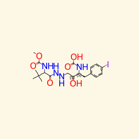 COC(=O)NC(C(=O)NNC[C@H](O)[C@H](Cc1ccc(I)cc1)NC(=O)O)C(C)(C)C